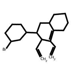 C=CC1=C2CCCCC2CC(C2CCCC(Br)C2)C1C=C